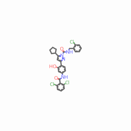 O=C(Nc1ccc(-c2cc(C3CCCC3)n(C(=O)NCc3ccccc3Cl)n2)c(O)c1)c1c(Cl)cccc1Cl